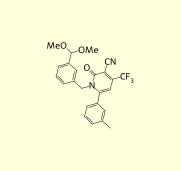 COC(OC)c1cccc(Cn2c(-c3cccc(C)c3)cc(C(F)(F)F)c(C#N)c2=O)c1